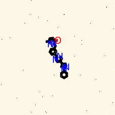 Cc1ccc(=O)n(Cc2cccc(-c3ncc(-c4cnn(C5CCCCC5)c4)cn3)c2)n1